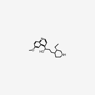 CC[C@H]1CNCCC1CC[C@@H](O)c1ccnc2ccc(OC)cc12